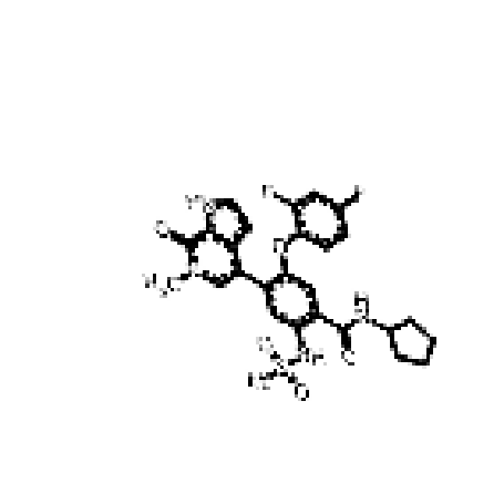 CCS(=O)(=O)Nc1cc(-c2cn(C)c(=O)c3[nH]ccc23)c(Oc2ccc(F)cc2F)cc1C(=O)NC1CCCC1